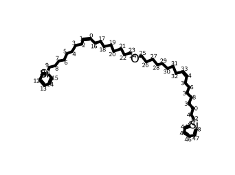 C(=C/CCCCCCCC[si]1ccccc1)/CCCCCCCCOCCCCCCCC/C=C\CCCCCCCC[si]1ccccc1